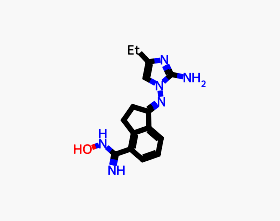 CCc1cn(N=C2CCc3c(C(=N)NO)cccc32)c(N)n1